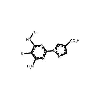 CC(C)Nc1nc(-n2cc(C(=O)O)cn2)nc(N)c1Br